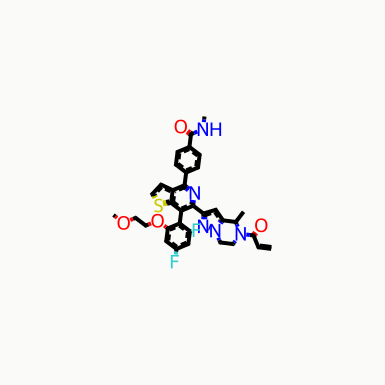 C=CC(=O)N1CCn2nc(-c3nc(-c4ccc(C(=O)NC)cc4)c4ccsc4c3-c3c(F)cc(F)cc3OCCOC)cc2C1C